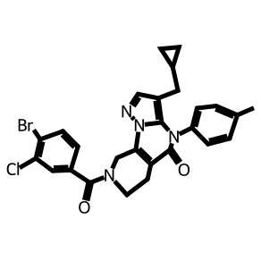 Cc1ccc(-n2c(=O)c3c(n4ncc(CC5CC5)c24)CN(C(=O)c2ccc(Br)c(Cl)c2)CC3)cc1